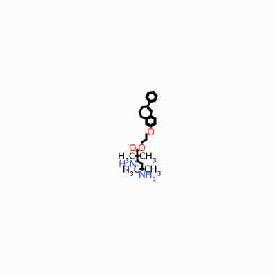 CC(C)(N)CC(N)C(C)(C)C(=O)OCCCOc1ccc2c(c1)CCCC(c1ccccc1)=C2